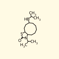 CC(C)BC1CCCCCC2C(CC1)SC(=O)N2C(C)C